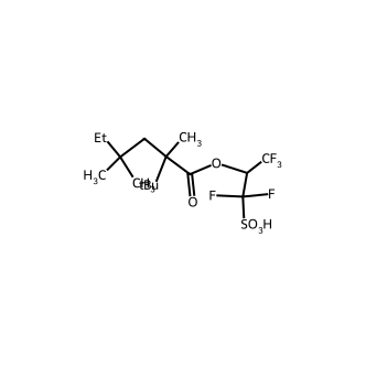 CCC(C)(C)CC(C)(C(=O)OC(C(F)(F)F)C(F)(F)S(=O)(=O)O)C(C)(C)C